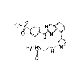 CC(=O)NCCNc1cc(-c2cccc3cnc(Nc4ccc(S(N)(=O)=O)cc4)nc23)ccn1